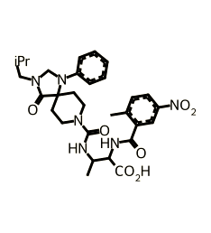 Cc1ccc([N+](=O)[O-])cc1C(=O)NC(C(=O)O)C(C)NC(=O)N1CCC2(CC1)C(=O)N(CC(C)C)CN2c1ccccc1